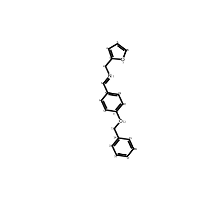 C(=NCc1ccco1)c1ccc(OCc2ccccc2)cc1